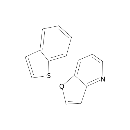 c1ccc2sccc2c1.c1cnc2ccoc2c1